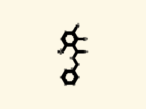 Nc1ccc(Br)c(Cl)c1C(=O)OCc1ccccc1